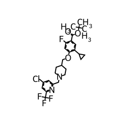 CC(C)(C)OC(=O)c1cc(C2CC2)c(OCC2CCN(Cc3cc(Cl)cc(C(F)(F)F)n3)CC2)cc1F